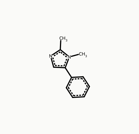 Cc1ncc(-c2ccccc2)n1C